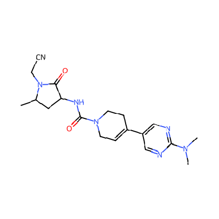 CC1CC(NC(=O)N2CC=C(c3cnc(N(C)C)nc3)CC2)C(=O)N1CC#N